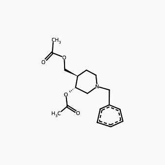 CC(=O)OC[C@H]1CCN(Cc2ccccc2)C[C@@H]1OC(C)=O